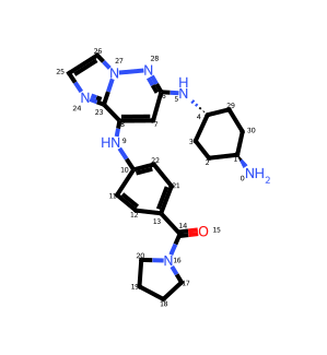 N[C@H]1CC[C@H](Nc2cc(Nc3ccc(C(=O)N4CCCC4)cc3)c3nccn3n2)CC1